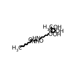 C/C=C/C=C/CCC(=O)NCCNC(=O)CCCCCO[C@@H]1OC(C)[C@H](O)C(O)C1O